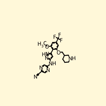 COc1cc(C(F)(F)F)cc(OCC2CCCNC2)c1-c1cc(Nc2cnc(C#N)cn2)n[nH]1